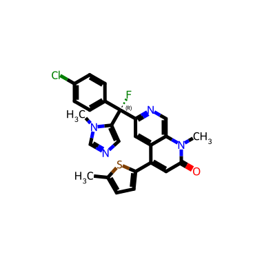 Cc1ccc(-c2cc(=O)n(C)c3cnc([C@](F)(c4ccc(Cl)cc4)c4cncn4C)cc23)s1